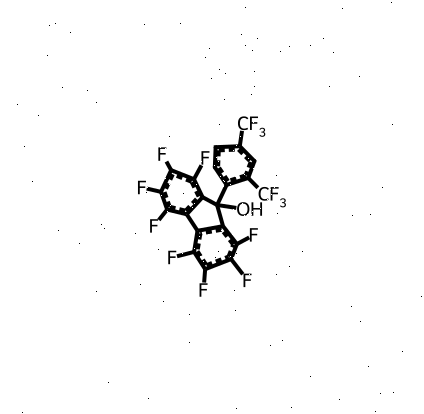 OC1(c2ccc(C(F)(F)F)cc2C(F)(F)F)c2c(F)c(F)c(F)c(F)c2-c2c(F)c(F)c(F)c(F)c21